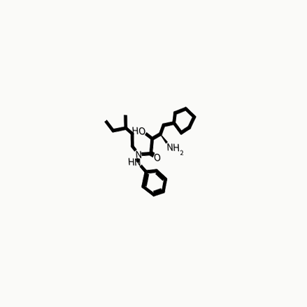 CCC(C)CCN(Nc1ccccc1)C(=O)C(O)[C@H](N)CC1CCCCC1